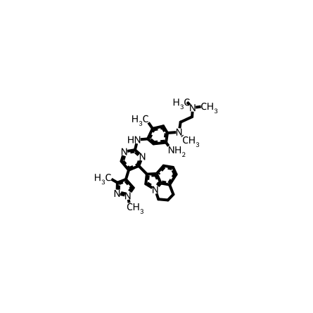 Cc1cc(N(C)CCN(C)C)c(N)cc1Nc1ncc(-c2cn(C)nc2C)c(-c2cn3c4c(cccc24)CCC3)n1